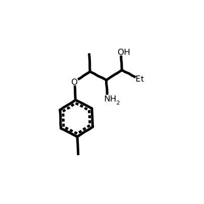 CCC(O)C(N)C(C)Oc1ccc(C)cc1